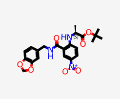 C[C@H](Nc1ccc([N+](=O)[O-])cc1C(=O)NCc1ccc2c(c1)OCO2)C(=O)OC(C)(C)C